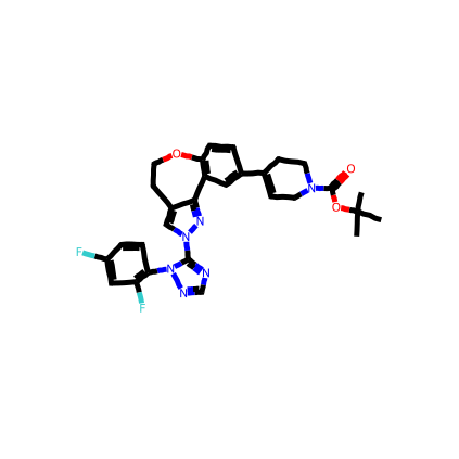 CC(C)(C)OC(=O)N1CC=C(c2ccc3c(c2)-c2nn(-c4ncnn4-c4ccc(F)cc4F)cc2CCO3)CC1